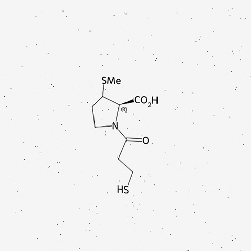 CSC1CCN(C(=O)CCS)[C@@H]1C(=O)O